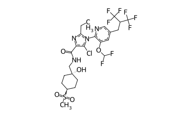 CCc1nc(C(=O)NC[C@]2(O)CC[C@H](S(C)(=O)=O)CC2)c(Cl)n1-c1ncc(CC(C(F)(F)F)C(F)(F)F)cc1OC(F)F